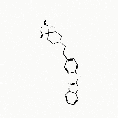 O=C1NC(=O)C2(CCN(CCc3ccc(OC4=NC5C=CC=CC5S4)cc3)CC2)N1